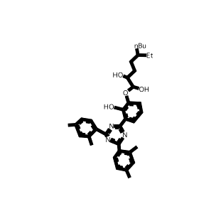 CCCCC(CC)CCC(O)C(O)Oc1cccc(-c2nc(-c3ccc(C)cc3C)nc(-c3ccc(C)cc3C)n2)c1O